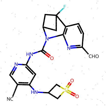 N#Cc1cnc(NC(=O)N2c3nc(C=O)ccc3C3(F)CC2C3)cc1NC1CS(=O)(=O)C1